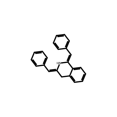 C(=C1Cc2ccccc2C(=Cc2ccccc2)N1)c1ccccc1